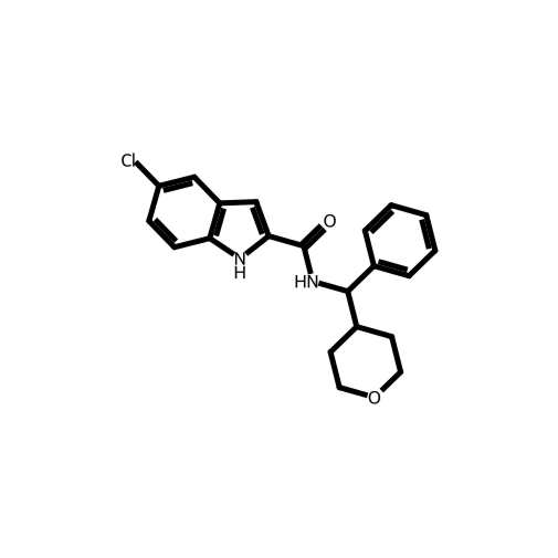 O=C(NC(c1ccccc1)C1CCOCC1)c1cc2cc(Cl)ccc2[nH]1